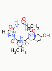 CC(C)C[C@@H]1NC(=O)C(Cc2ccc(O)cc2)NC(=O)[C@H](C)NC2(CNC(=O)[C@H](C)NC1=O)COC2